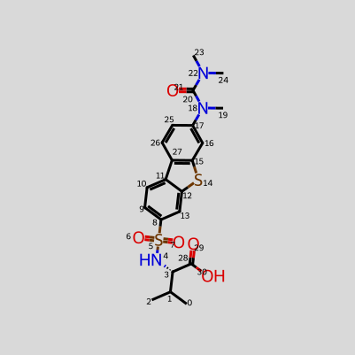 CC(C)[C@H](NS(=O)(=O)c1ccc2c(c1)sc1cc(N(C)C(=O)N(C)C)ccc12)C(=O)O